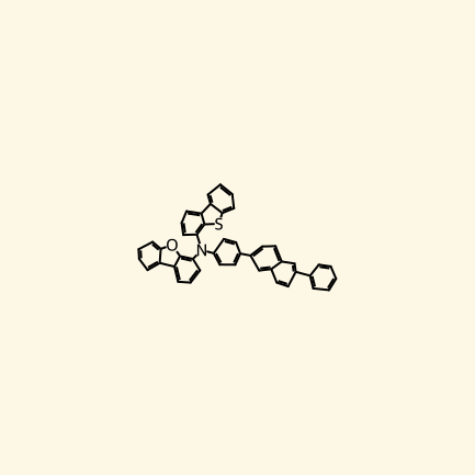 c1ccc(-c2ccc3cc(-c4ccc(N(c5cccc6c5oc5ccccc56)c5cccc6c5sc5ccccc56)cc4)ccc3c2)cc1